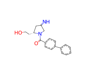 N=C1C[C@@H](CCO)N(C(=O)c2ccc(-c3ccccc3)cc2)C1